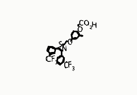 Cc1cc(OCc2nc(-c3cccc(C(F)(F)F)c3)c(-c3cccc(C(F)(F)F)c3)s2)ccc1OCC(=O)O